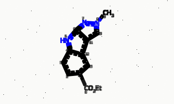 CCOC(=O)c1ccc2[nH]c3nn(C)cc3c2c1